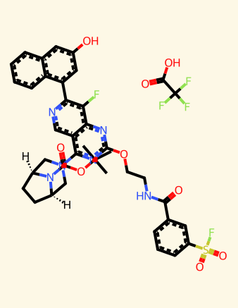 CC(C)(C)OC(=O)N1[C@@H]2CC[C@H]1CN(c1nc(OCCNC(=O)c3cccc(S(=O)(=O)F)c3)nc3c(F)c(-c4cc(O)cc5ccccc45)ncc13)C2.O=C(O)C(F)(F)F